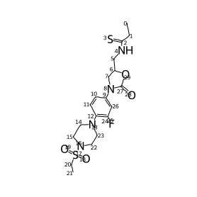 CCC(=S)NCC1CN(c2ccc(N3CCN(S(=O)(=O)CC)CC3)c(F)c2)C(=O)O1